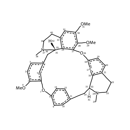 COc1ccc2cc1Oc1ccc(cc1)C[C@H]1c3cc(ccc3CCN1C)Oc1c(OC)c(OC)cc3c1[C@H](C2)N(C)CC3